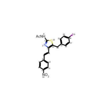 CC(=O)Nc1nc(C=Cc2ccc([N+](=O)[O-])cc2)c(Cc2ccc(I)cc2)s1